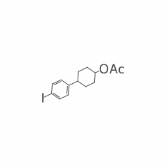 CC(=O)OC1CCC(c2ccc(I)cc2)CC1